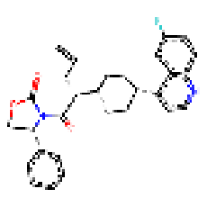 C=CC[C@@H](C(=O)N1C(=O)OC[C@H]1c1ccccc1)[C@H]1CC[C@@H](c2ccnc3ccc(F)cc32)CC1